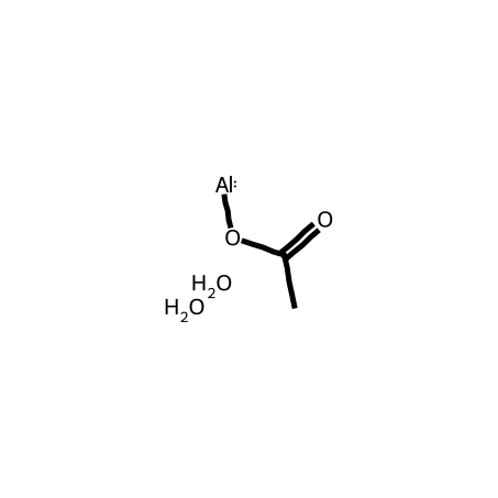 CC(=O)[O][Al].O.O